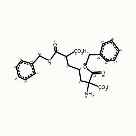 NC(CCCC(C(=O)O)C(=O)OCc1ccccc1)(C(=O)O)C(=O)OCc1ccccc1